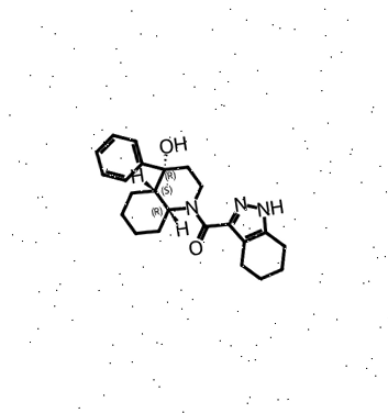 O=C(c1n[nH]c2c1CCCC2)N1CC[C@](O)(c2ccccc2)[C@H]2CCCC[C@H]21